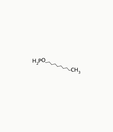 CCCCCCCCCCOP